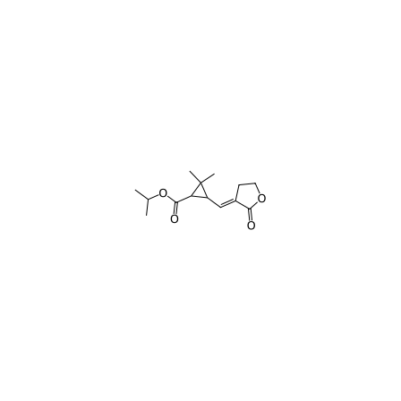 CC(C)OC(=O)C1C(C=C2CCOC2=O)C1(C)C